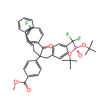 COC(=O)c1ccc(C(CC=Cc2ccccc2)(Cc2ccc(C(F)(F)P(=O)(OC(C)(C)C)OC(C)(C)C)cc2)C(=O)c2ccc(F)cc2)cc1